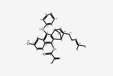 C=C(C)C(=O)Oc1c2c(c(Oc3ccccc3)c3cc(Cl)ccc13)C1C=C(CCC=C(C)C)C2C1